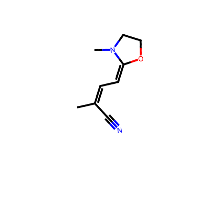 CC(C#N)=CC=C1OCCN1C